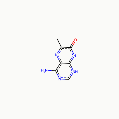 Cc1nc2c(N)nc[nH]c-2nc1=O